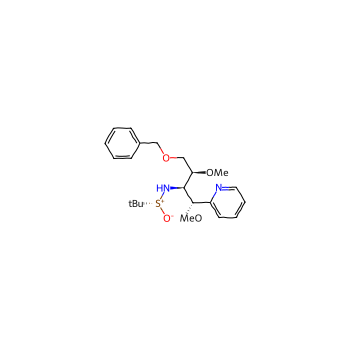 CO[C@H](COCc1ccccc1)[C@H](N[S@+]([O-])C(C)(C)C)[C@@H](OC)c1ccccn1